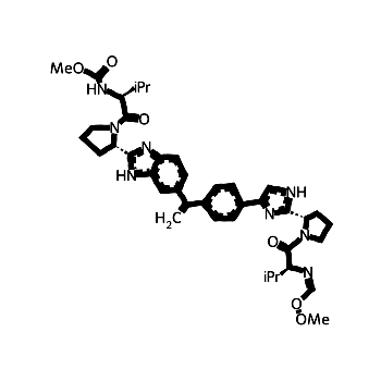 C=C(c1ccc(-c2c[nH]c([C@@H]3CCCN3C(=O)[C@@H](/N=C\OOC)C(C)C)n2)cc1)c1ccc2nc([C@@H]3CCCN3C(=O)[C@@H](NC(=O)OC)C(C)C)[nH]c2c1